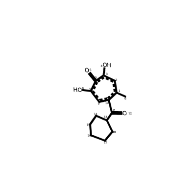 Cc1cc(O)c(=O)c(O)cc1C(=O)C1CCCCC1